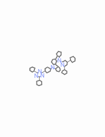 c1ccc(-c2cc(-c3ccccc3)nc(-n3c4ccccc4c4ccc5c(c6ccccc6n5-c5ccc(-c6nc(-c7ccccc7)nc(-c7ccccc7)n6)cc5)c43)c2)cc1